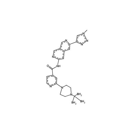 BC(B)(B)N1CCN(c2cc(C(=O)Nc3cc4cc(-c5cn(C)nn5)ncc4cn3)ccn2)CC1